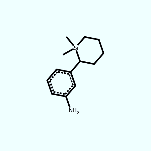 C[Si]1(C)CCCCC1c1cccc(N)c1